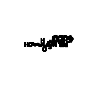 CC(C)(C)OC(=O)N(Cc1ccc2c(c1)nc1sc(C(=O)NCCCCO)cn12)CC1CCCO1